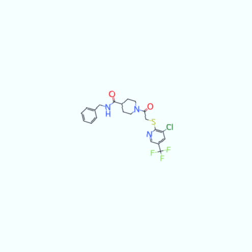 O=C(NCc1ccccc1)C1CCN(C(=O)CSc2ncc(C(F)(F)F)cc2Cl)CC1